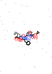 CC(C)C[C@H](NC(=O)[C@@H](O)COC1CC1)C(=O)N[C@@H](Cc1ccccc1)C(=O)N[C@@H](CC(C)C)C(=O)[C@@]1(C)CO1